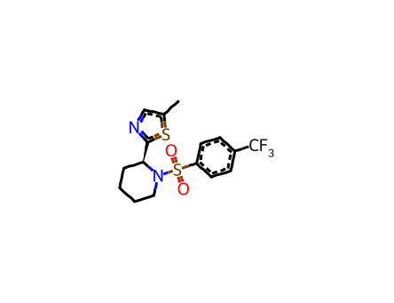 Cc1cnc([C@@H]2CCCCN2S(=O)(=O)c2ccc(C(F)(F)F)cc2)s1